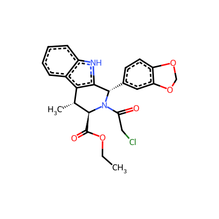 CCOC(=O)[C@H]1[C@H](C)c2c([nH]c3ccccc23)[C@H](c2ccc3c(c2)OCO3)N1C(=O)CCl